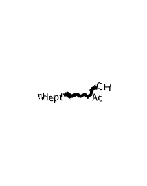 C#CCC(CCCCCCCCCCCCC)C(C)=O